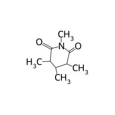 CC1C(=O)N(C)C(=O)C(C)C1C